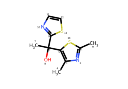 Cc1nc(C)c(C(C)(O)c2nccs2)s1